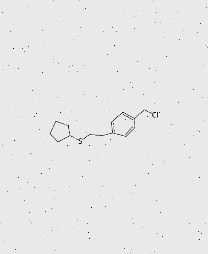 ClCc1ccc(CCSC2CCCC2)cc1